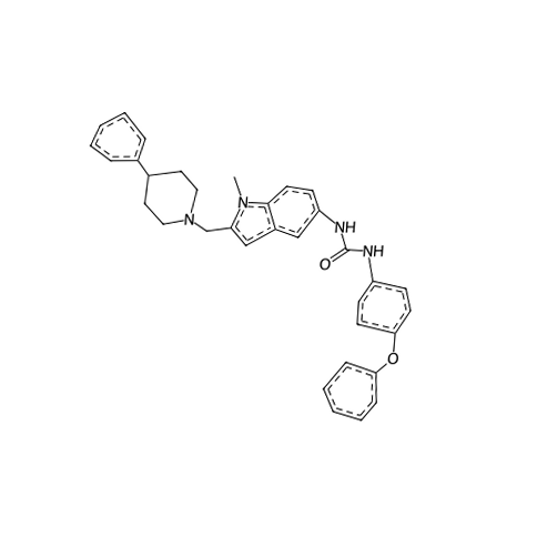 Cn1c(CN2CCC(c3ccccc3)CC2)cc2cc(NC(=O)Nc3ccc(Oc4ccccc4)cc3)ccc21